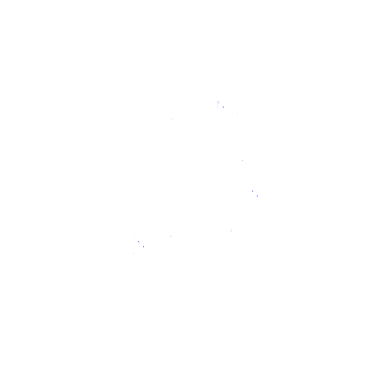 NC(=O)c1cncc(C(N)=S)c1